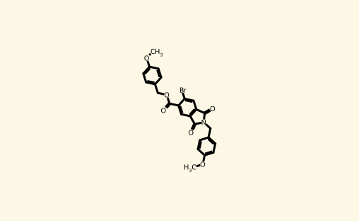 COc1ccc(COC(=O)c2cc3c(cc2Br)C(=O)N(Cc2ccc(OC)cc2)C3=O)cc1